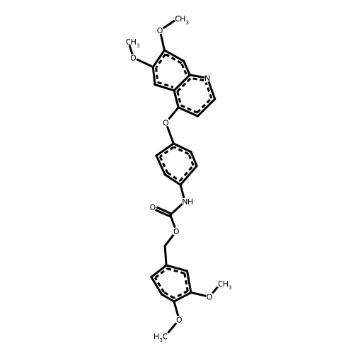 COc1ccc(COC(=O)Nc2ccc(Oc3ccnc4cc(OC)c(OC)cc34)cc2)cc1OC